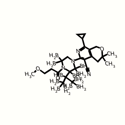 BC1(B)CN(c2nc(C3CC3)c3c(c2C#N)CC(C)(C)OC3)C(B)(B)C(B)(C(B)(C(B)(B)B)C(B)(B)B)N1C(=O)CCOC